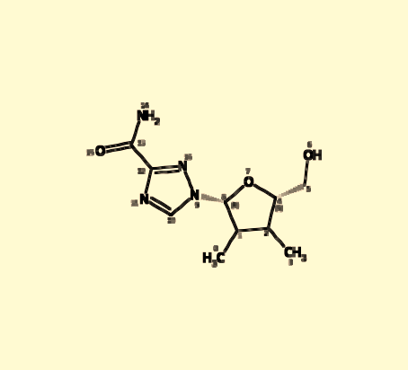 CC1C(C)[C@@H](CO)O[C@H]1n1cnc(C(N)=O)n1